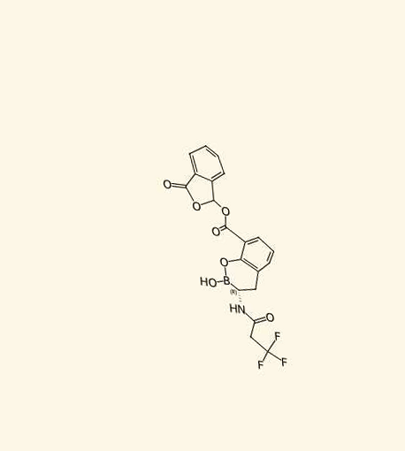 O=C(CC(F)(F)F)N[C@H]1Cc2cccc(C(=O)OC3OC(=O)c4ccccc43)c2OB1O